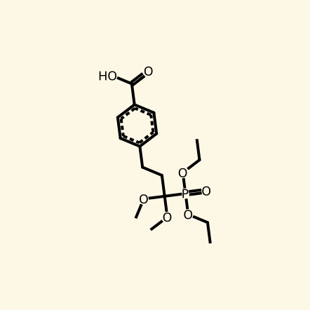 CCOP(=O)(OCC)C(CCc1ccc(C(=O)O)cc1)(OC)OC